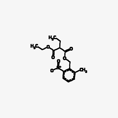 CCOC(=O)C(CC)C(=O)OCc1c(C)cccc1[N+](=O)[O-]